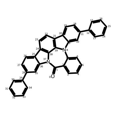 O=c1c2ccccc2n2c3cc(-c4ccccc4)ccc3c3ccc4c5ccc(-c6ccccc6)cc5n1c4c32